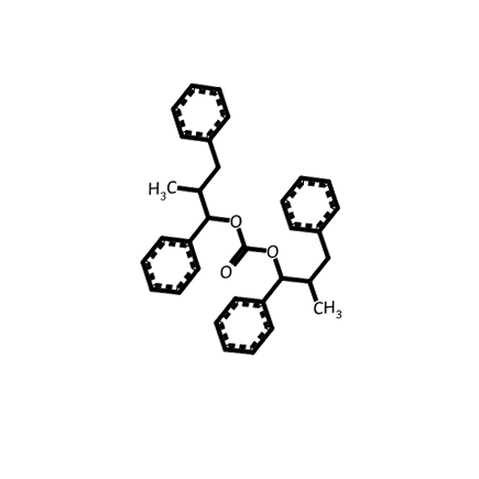 CC(Cc1ccccc1)C(OC(=O)OC(c1ccccc1)C(C)Cc1ccccc1)c1ccccc1